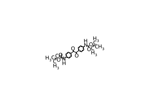 CC(C)(C)OC(=O)Nc1ccc(C(=O)C(=O)c2ccc(NC(=O)OC(C)(C)C)cc2)cc1